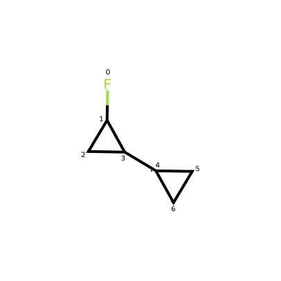 FC1CC1[C]1CC1